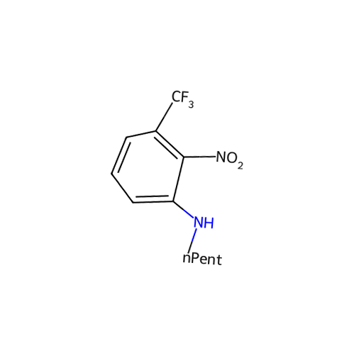 CCCCCNc1cccc(C(F)(F)F)c1[N+](=O)[O-]